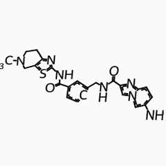 CN1CCc2nc(NC(=O)c3cccc(CNC(=O)c4cn5cc(N)ccc5n4)c3)sc2C1